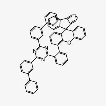 c1ccc(-c2cccc(-c3nc(-c4cccc(-c5ccccc5)c4)nc(-c4ccccc4-c4cccc5c4Oc4ccccc4C54c5ccccc5-c5ccccc54)n3)c2)cc1